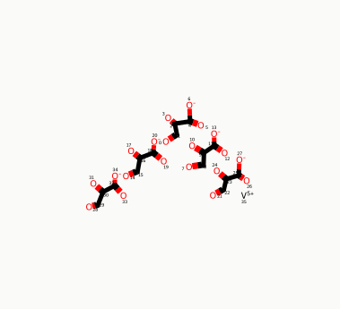 O=CC(=O)C(=O)[O-].O=CC(=O)C(=O)[O-].O=CC(=O)C(=O)[O-].O=CC(=O)C(=O)[O-].O=CC(=O)C(=O)[O-].[V+5]